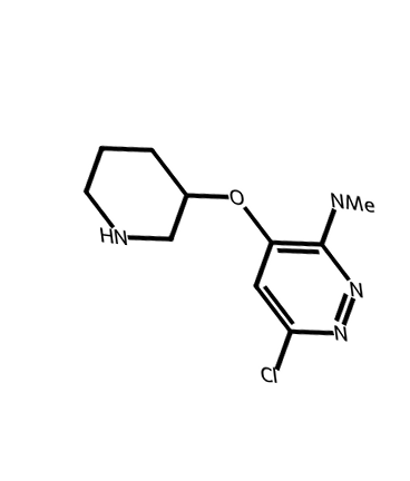 CNc1nnc(Cl)cc1OC1CCCNC1